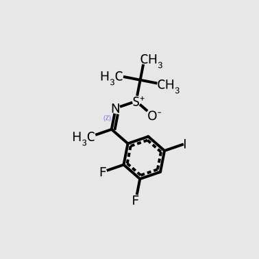 C/C(=N/[S+]([O-])C(C)(C)C)c1cc(I)cc(F)c1F